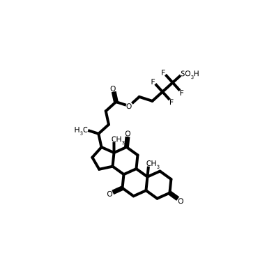 CC(CCC(=O)OCCC(F)(F)C(F)(F)S(=O)(=O)O)C1CCC2C3C(=O)CC4CC(=O)CCC4(C)C3CC(=O)C12C